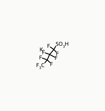 O=S(=O)(O)C(F)(F)C(F)(F)C(F)(F)C(F)(F)F.[K]